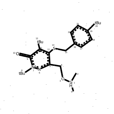 C[SiH](C)OCc1nn(C(C)(C)C)c(=O)c(C(C)(C)C)c1SCc1ccc(C(C)(C)C)cc1